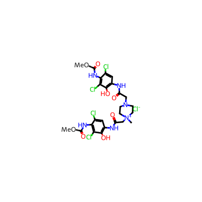 COC(=O)Nc1c(Cl)cc(NC(=O)CN2CC[N+](C)(CC(=O)Nc3cc(Cl)c(NC(=O)OC)c(Cl)c3O)CC2)c(O)c1Cl.[Cl-]